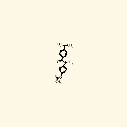 CC(=O)Oc1ccc(N(C)C(=O)c2ccc(C(C)C)cc2)cc1